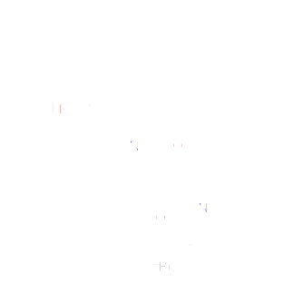 CC(C)(C)OC(=O)N1CCCC1COc1ccc([C@H](O)c2ccccc2)cn1